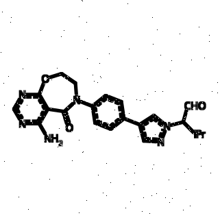 CC(C)C(C=O)n1cc(-c2ccc(N3CCOc4ncnc(N)c4C3=O)cc2)cn1